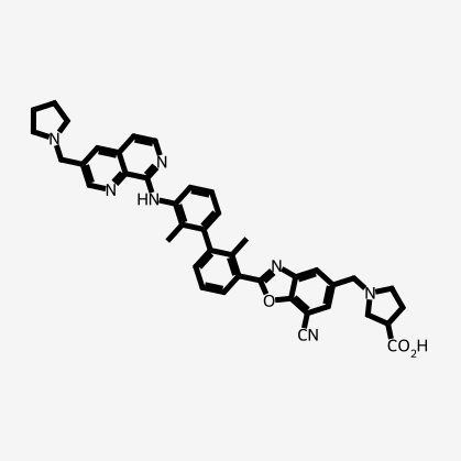 Cc1c(Nc2nccc3cc(CN4CCCC4)cnc23)cccc1-c1cccc(-c2nc3cc(CN4CCC(C(=O)O)C4)cc(C#N)c3o2)c1C